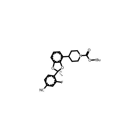 CC(C)(C)OC(=O)N1CCC(c2cccc3c2O[C@@](C)(c2ccc(C#N)cc2F)O3)CC1